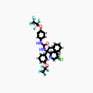 O=C(Nc1ccc(OC(F)(F)C(F)F)cc1)NC(Cc1ccccc1)(c1cccc(OC(F)(F)C(F)F)c1)c1ccc(Cl)cn1